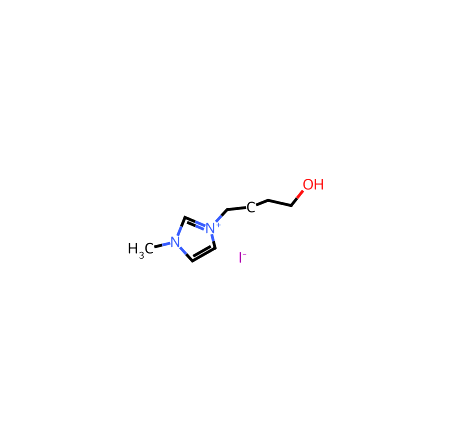 Cn1cc[n+](CCCCO)c1.[I-]